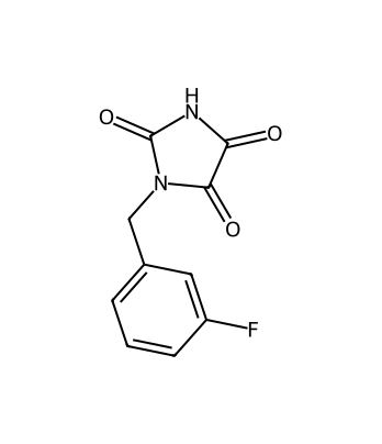 O=C1NC(=O)N(Cc2cccc(F)c2)C1=O